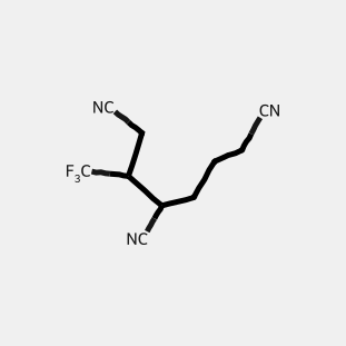 N#CCCCC(C#N)C(CC#N)C(F)(F)F